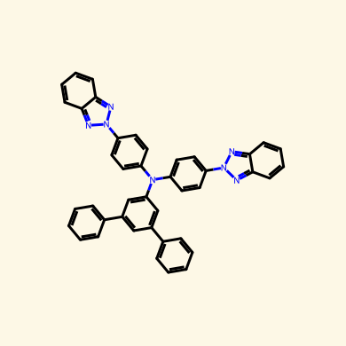 c1ccc(-c2cc(-c3ccccc3)cc(N(c3ccc(-n4nc5ccccc5n4)cc3)c3ccc(-n4nc5ccccc5n4)cc3)c2)cc1